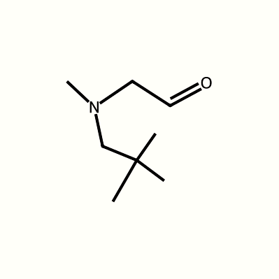 CN(CC=O)CC(C)(C)C